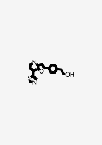 OCCc1ccc(-c2cc3nccc(-c4cncs4)c3o2)cc1